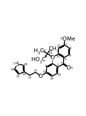 COc1ccc(C(=O)c2ccc(OCCc3ccsc3)cc2)c(OC(C)(C)C(=O)O)c1